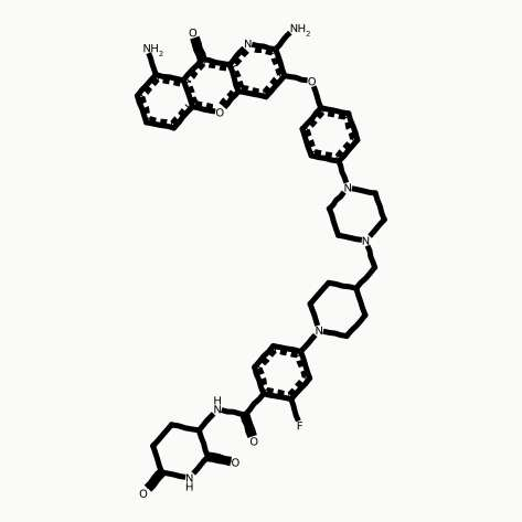 Nc1nc2c(=O)c3c(N)cccc3oc2cc1Oc1ccc(N2CCN(CC3CCN(c4ccc(C(=O)NC5CCC(=O)NC5=O)c(F)c4)CC3)CC2)cc1